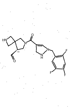 O=C[C@@H]1CN(C(=O)C2=CN(Cc3cc(F)c(F)cc3F)NC2)CC12CNC2